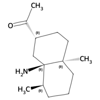 CC(=O)[C@@H]1CC[C@@]2(C)CCC[C@@H](C)[C@]2(N)C1